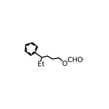 CCC(CCCO[C]=O)c1ccccc1